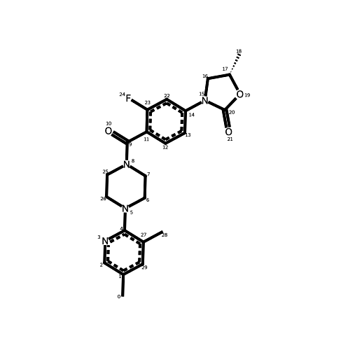 Cc1cnc(N2CCN(C(=O)c3ccc(N4C[C@H](C)OC4=O)cc3F)CC2)c(C)c1